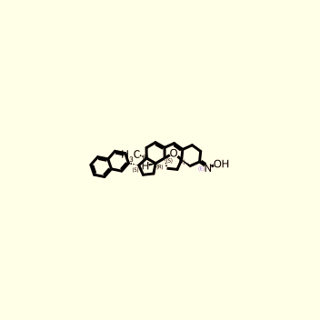 C[C@]12CC=C3C=C4CC/C(=N\O)C[C@]45CC[C@]3(O5)[C@@H]1CC[C@@H]2c1ccc2ccccc2c1